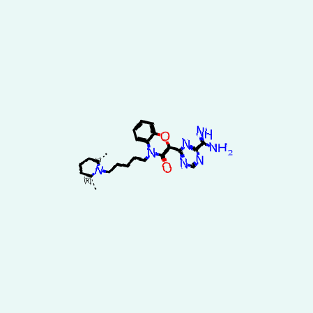 C[C@@H]1CCC[C@H](C)N1CCCCCN1C(=O)C(c2ncnc(C(=N)N)n2)Oc2ccccc21